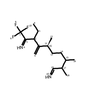 C=C(C(CC)C(=N)C(F)(F)F)[C@@H](C)CCC(C)C(C)C=N